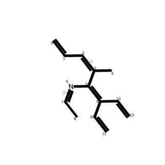 C=C/C=C(/C)C(/N=C\C)=C(C=C)C=C